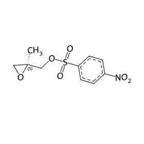 C[C@@]1(COS(=O)(=O)c2ccc([N+](=O)[O-])cc2)CO1